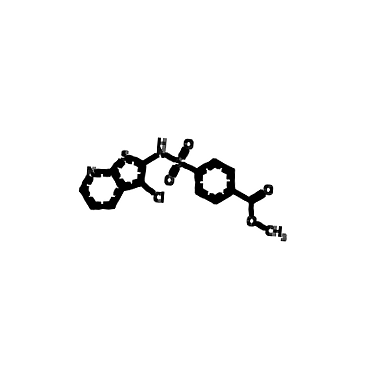 COC(=O)c1ccc(S(=O)(=O)Nc2sc3ncccc3c2Cl)cc1